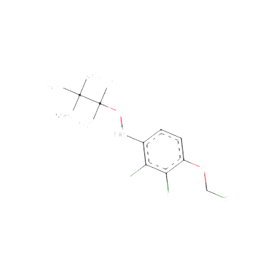 COC(C)(C)C(C)(C)OBc1ccc(OCF)c(F)c1Cl